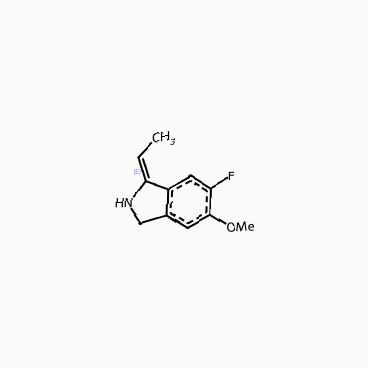 C/C=C1/NCc2cc(OC)c(F)cc21